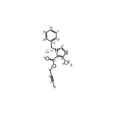 CC#CCOC(=O)c1c(C(F)(F)F)ncn1[C@H](C)c1ccccc1